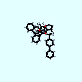 C[C@@H]1C/C=C(c2cc(Cl)c3sc4ccccc4c3c2)/N=C(c2ccc(-c3ccccc3)cc2)\N=C/1c1ccc2ccccc2c1